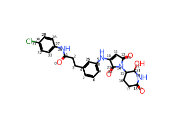 O=C(CCc1cccc(NC2=CC(=O)N(C3CCC(=O)NC3O)C2=O)c1)Nc1ccc(Cl)cc1